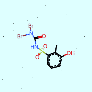 Cc1c(O)cccc1S(=O)(=O)NC(=O)N(Br)Br